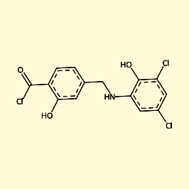 O=C(Cl)c1ccc(CNc2cc(Cl)cc(Cl)c2O)cc1O